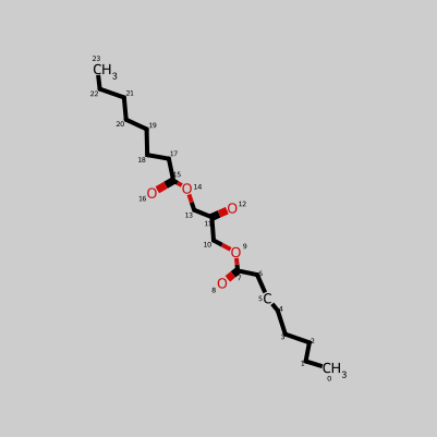 CCCCCCCC(=O)OCC(=O)COC(=O)CCCCCCC